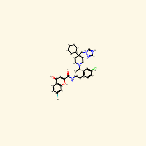 O=C(N[C@H](CCN1CCC(Cn2cncn2)(C2CCCCC2)CC1)Cc1ccc(Cl)cc1)c1cc(=O)c2ccc(F)cc2o1